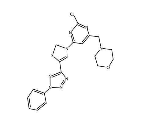 Clc1nc(CN2CCOCC2)cc(N2C=C(c3nnn(-c4ccccc4)n3)SC2)n1